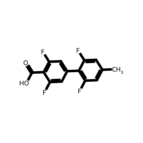 Cc1cc(F)c(-c2cc(F)c(C(=O)O)c(F)c2)c(F)c1